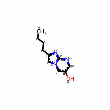 CCCCc1cn2cc(O)cnc2n1